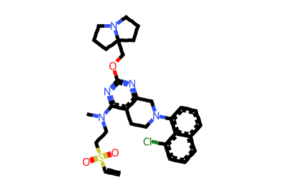 C=CS(=O)(=O)CCN(C)c1nc(OCC23CCCN2CCC3)nc2c1CCN(c1cccc3cccc(Cl)c13)C2